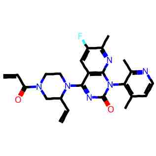 C=CC(=O)N1CCN(c2nc(=O)n(-c3c(C)ccnc3C)c3nc(C)c(F)cc23)C(C=C)C1